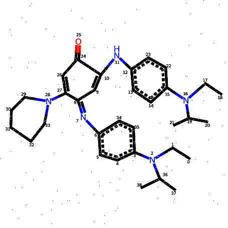 CCN(c1ccc(N=C2C=C(Nc3ccc(N(CC)C(C)C)cc3)C(=O)C=C2N2CCCCC2)cc1)C(C)C